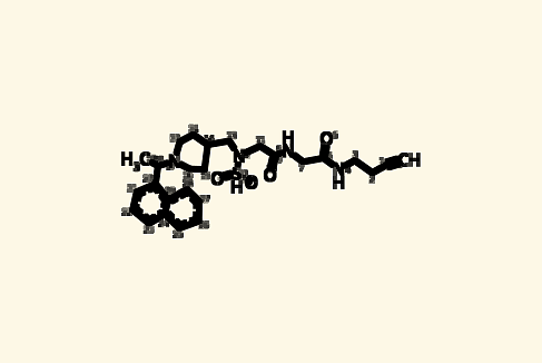 C#CCCNC(=O)CNC(=O)CN(CC1CCN(C(C)c2cccc3ccccc23)CC1)[SH](=O)=O